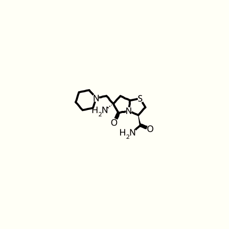 NC(=O)[C@@H]1CSC2C[C@](N)(CN3CCCCC3)C(=O)N21